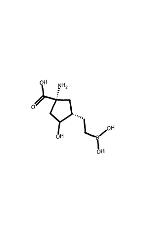 N[C@@]1(C(=O)O)CC(O)[C@@H](CCB(O)O)C1